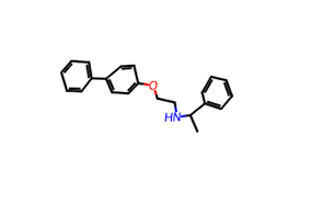 CC(NCCOc1ccc(-c2ccccc2)cc1)c1ccccc1